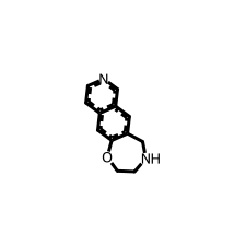 c1cc2cc3c(cc2cn1)CNCCO3